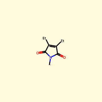 [CH2]N1C(=O)C(CC)=C(CC)C1=O